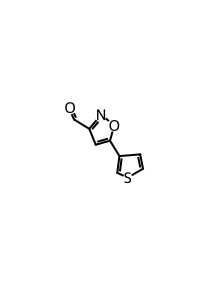 O=Cc1cc(-c2ccsc2)on1